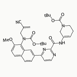 C=C(C#N)CN(C(=O)OC(C)(C)C)c1c(OC)ccc2ccc(-c3ccnc(C(=O)NC4=CCCN(C(=O)OC(C)(C)C)C4)n3)cc12